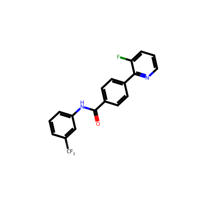 O=C(Nc1cccc(C(F)(F)F)c1)c1ccc(-c2ncccc2F)cc1